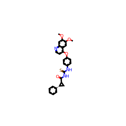 COc1cc2nccc(Oc3ccc(NC(=S)NC(=O)C4C[C@@H]4c4ccccc4)cc3)c2cc1OC